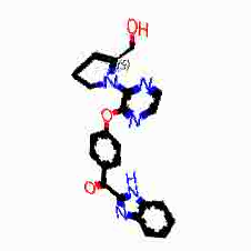 O=C(c1ccc(Oc2nccnc2N2CCC[C@H]2CO)cc1)c1nc2ccccc2[nH]1